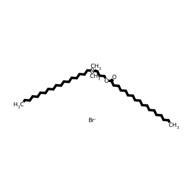 CCCCCCCCCCCCCCCCCC[N+](C)(C)CCCOC(=O)CCCCCCCCCCCCCCCCC.[Br-]